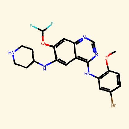 COc1ccc(Br)cc1Nc1ncnc2cc(OC(F)F)c(NC3CCNCC3)cc12